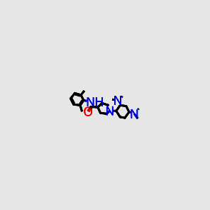 Cc1cccc(C)c1NC(=O)C1CCN(C2CCC(N(C)C)CC2N(C)C)CC1